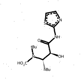 CCCC[C@@H]([C@H](O)C(=O)Nc1nccs1)N(C(=O)O)C(C)(C)C